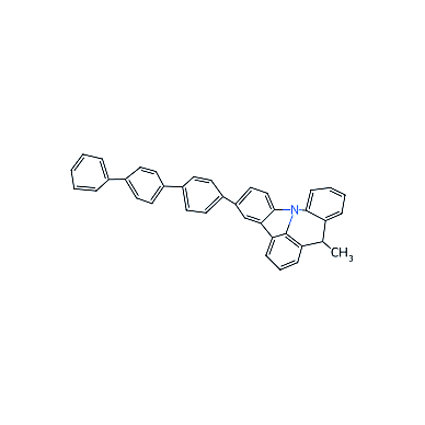 CC1c2ccccc2-n2c3ccc(-c4ccc(-c5ccc(-c6ccccc6)cc5)cc4)cc3c3cccc1c32